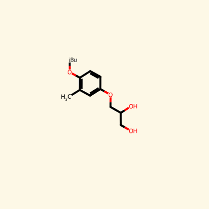 CCC(C)Oc1ccc(OCC(O)CO)cc1C